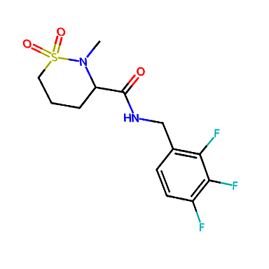 CN1C(C(=O)NCc2ccc(F)c(F)c2F)CCCS1(=O)=O